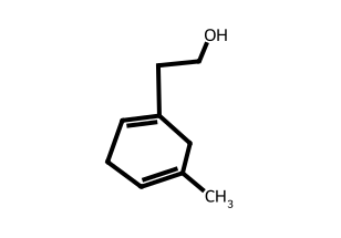 CC1=CCC=C(CCO)C1